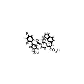 CC(C)[C@H]1CN([C@@H](Cc2ccc3c(c2)CCC3)C(=O)O)CCN1C(=O)[C@@H]1CN(C(C)(C)C)C[C@H]1c1ccc(F)cc1F